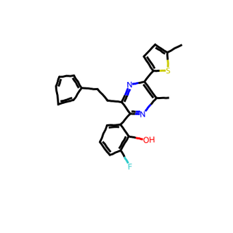 Cc1ccc(-c2nc(CCc3ccccc3)c(-c3cccc(F)c3O)nc2C)s1